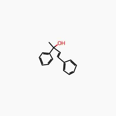 CC(O)(C=Cc1ccccc1)c1ccccc1